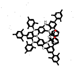 Cc1cc(C)c(-c2cc3c4c(c2)Oc2c(sc5ccccc25)B4c2cc4c(cc2N3)N(c2c(C)cc(C)cc2C)c2cc(-c3c(C)cc(C)cc3C)cc3c2B4c2cc4c(cc2N3c2c(C)cc(C)cc2C)Oc2cc(-c3c(C)cc(C)cc3C)cc3c2B4c2sc4ccccc4c2O3)c(C)c1